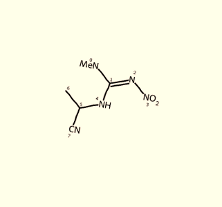 CN/C(=N/[N+](=O)[O-])NC(C)C#N